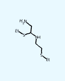 CCSCCNC(CN)SCC